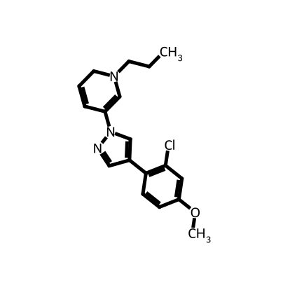 CCCN1C=C(n2cc(-c3ccc(OC)cc3Cl)cn2)C=CC1